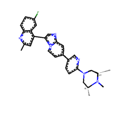 Cc1cc(-c2cnc3cc(-c4ccc(N5C[C@@H](C)N(C)[C@@H](C)C5)nc4)ccn23)c2cc(F)ccc2n1